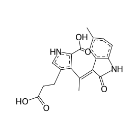 CC(=C1C(=O)Nc2ccc(C)cc21)c1c(CCC(=O)O)c[nH]c1C(=O)O